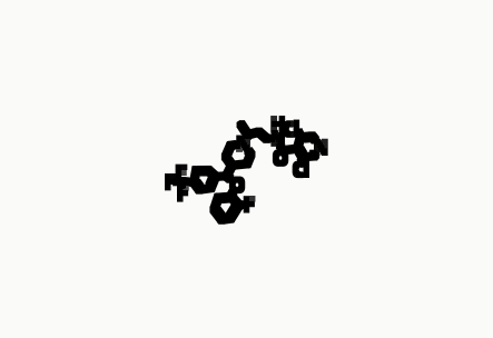 CC(CCNC(=O)c1c(Cl)cncc1Cl)N1CCC(C(Oc2ccccc2F)c2ccc(C(F)(F)F)cc2)CC1